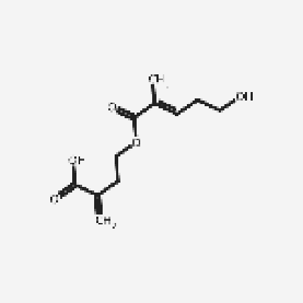 C=C(CCOC(=O)C(C)=CCCO)C(=O)O